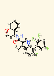 CCc1c(C(=O)N[C@H]2CCOc3ccccc32)cnc2c(-c3cc(F)cc(F)c3F)c(F)ccc12